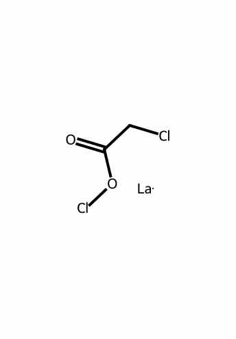 O=C(CCl)OCl.[La]